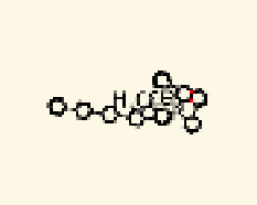 CC1(C)c2cc(-c3ccc(-c4ccc(-c5ccccc5)cc4)cc3)ccc2-c2ccc(N(c3ccccc3-c3ccccc3)c3cccc4c3oc3ccccc34)cc21